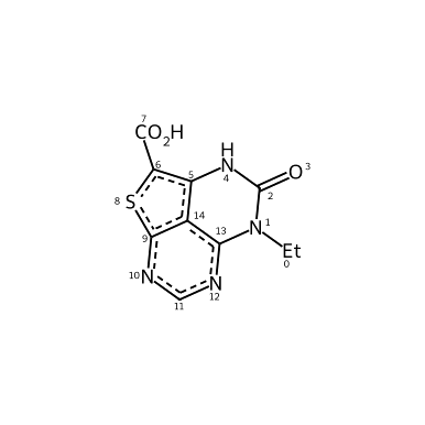 CCN1C(=O)Nc2c(C(=O)O)sc3ncnc1c23